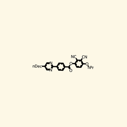 CCCCCCCCCCc1cnc(-c2ccc(C(=O)Oc3ccc(OCCC)c(C#N)c3C#N)cc2)nc1